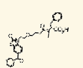 O=C(CCCOCCn1c(=O)sc2cc(C(=O)c3ccccc3)ccc21)NC(Cc1ccccc1)C(=O)O